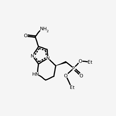 CCOP(=O)(C[C@H]1CCNc2nc(C(N)=O)cn21)OCC